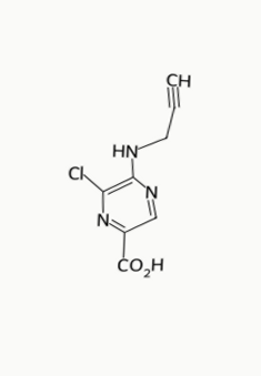 C#CCNc1ncc(C(=O)O)nc1Cl